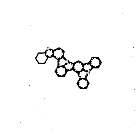 c1ccc2c(c1)c1cc3c(c4cccc5c6c7c8c(oc7ccc6n3c54)CCCC8)c3c4ccccc4n2c13